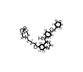 O=S1(=O)CCN(CCCCOc2ccc3ncnc(Nc4ccc(OCc5ccccc5)cc4)c3c2)CC1